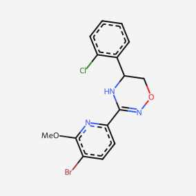 COc1nc(C2=NOCC(c3ccccc3Cl)N2)ccc1Br